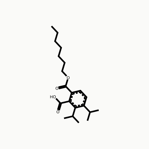 CCCCCCCOC(=O)c1ccc(C(C)C)c(C(C)C)c1C(=O)O